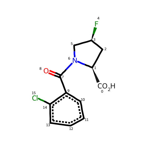 O=C(O)[C@@H]1C[C@H](F)CN1C(=O)c1ccccc1Cl